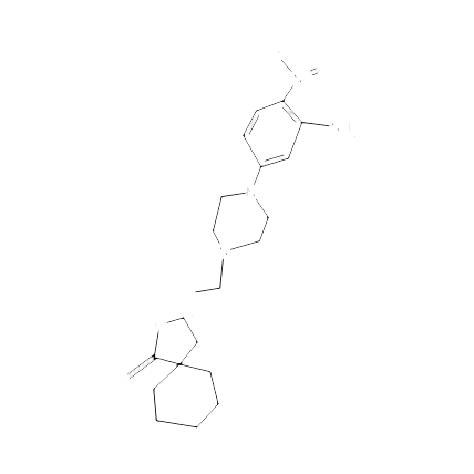 Nc1cc(N2CCN(CC[C@@H]3CC4(CCCCC4)C(=O)O3)CC2)ccc1[N+](=O)[O-]